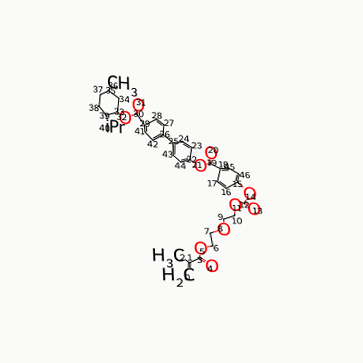 C=C(C)C(=O)OCCOCCOC(=O)Oc1ccc(C(=O)Oc2ccc(-c3ccc(C(=O)OC4CC(C)CCC4C(C)C)cc3)cc2)cc1